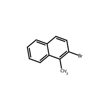 Cc1c(Br)ccc2ccccc12